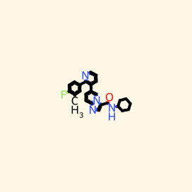 Cc1cc(-c2ncccc2-c2ccc3ncc(C(=O)NC4CCCCC4)n3c2)ccc1F